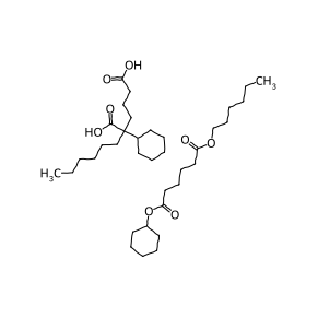 CCCCCCC(CCCC(=O)O)(C(=O)O)C1CCCCC1.CCCCCCOC(=O)CCCCC(=O)OC1CCCCC1